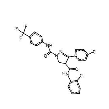 O=C(Nc1ccccc1Cl)C1CN(C(=O)Nc2ccc(C(F)(F)F)cc2)N=C1c1ccc(Cl)cc1